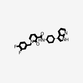 O=C(N[C@H]1CC[C@@H](c2c[nH]c3ncccc32)CC1)c1cccn(Cc2ccc(F)c(F)c2)c1=O